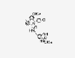 CONC(=O)c1ccc(CCNC(=O)C[C@@H]2N=C(c3ccc(Cl)cc3)c3cc(OC)ccc3-n3c(C)nnc32)cc1O